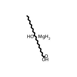 CCCCCCCCCCC(O)CCCCCCCCCCC(=O)O.[MgH2]